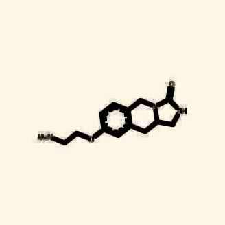 CNCCOc1ccc2c(c1)CC1CNC(=O)N1C2